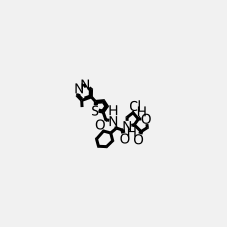 Cc1cnncc1-c1ccc(C(=O)NC(C(=O)N2C[C@H](Cl)[C@H]3OCC(=O)[C@H]32)C2CCCCC2)s1